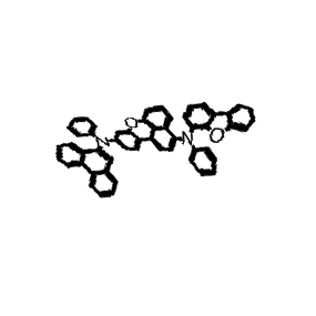 c1ccc(N(c2ccc3c(c2)Oc2cccc4c(N(c5ccccc5)c5cccc6c5oc5ccccc56)ccc-3c24)c2cc3ccccc3c3ccccc23)cc1